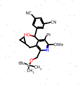 COc1nc(CO[Si](C)(C)C(C)(C)C)c(CC2CC2)c(C(O)c2cc(C#N)cc(C#N)c2)c1C(C)C